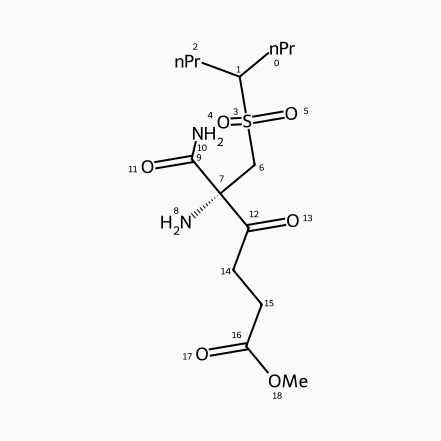 CCCC(CCC)S(=O)(=O)C[C@](N)(C(N)=O)C(=O)CCC(=O)OC